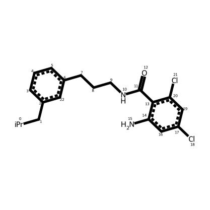 CC(C)Cc1cccc(CCCNC(=O)c2c(N)cc(Cl)cc2Cl)c1